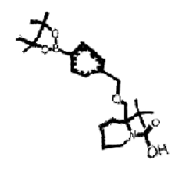 CC(C)(C)C1(COCc2ccc(B3OC(C)(C)C(C)(C)O3)cc2)CCCCN1C(=O)O